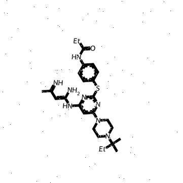 CCC(=O)Nc1ccc(Sc2nc(N/C(N)=C/C(C)=N)cc(N3CCN(C(C)(C)CC)CC3)n2)cc1